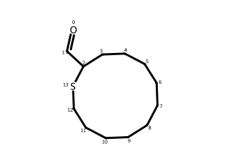 O=[C]C1CCCCCCCCCCS1